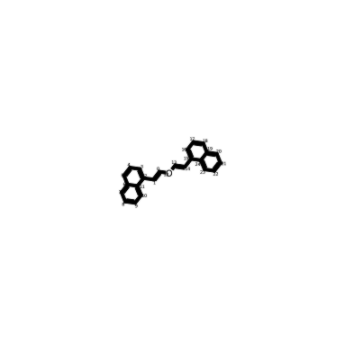 C(=Cc1cccc2ccccc12)OC=Cc1cccc2ccccc12